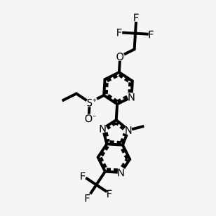 CC[S+]([O-])c1cc(OCC(F)(F)F)cnc1-c1nc2cc(C(F)(F)F)ncc2n1C